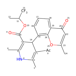 CC(=O)C1=C(C)NC(C)=C(C(=O)OC(C)C(F)(F)F)C1c1cccc2c(=O)cc(C)oc12